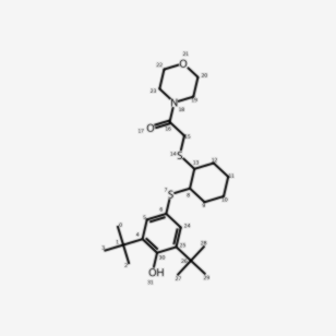 CC(C)(C)c1cc(SC2CCCCC2SCC(=O)N2CCOCC2)cc(C(C)(C)C)c1O